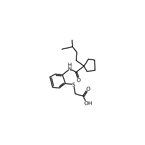 CC(C)CCC1(C(=O)Nc2ccccc2SCC(=O)O)CCCC1